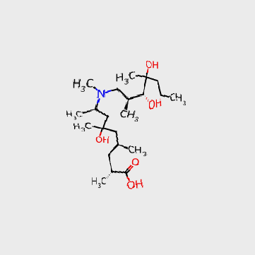 CCCC(C)(O)[C@H](O)[C@@H](C)CN(C)[C@H](C)CC(C)(O)C[C@@H](C)C[C@@H](C)C(=O)O